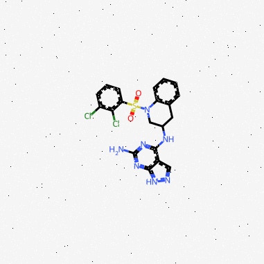 Nc1nc(NC2Cc3ccccc3N(S(=O)(=O)c3cccc(Cl)c3Cl)C2)c2cn[nH]c2n1